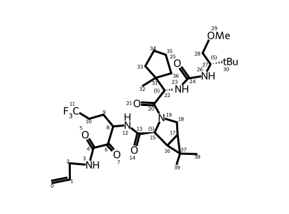 C=CCNC(=O)C(=O)C(CCC(F)(F)F)NC(=O)[C@@H]1C2C(CN1C(=O)[C@@H](NC(=O)N[C@H](COC)C(C)(C)C)C1(C)CCCC1)C2(C)C